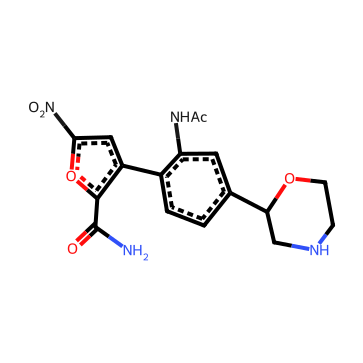 CC(=O)Nc1cc(C2CNCCO2)ccc1-c1cc([N+](=O)[O-])oc1C(N)=O